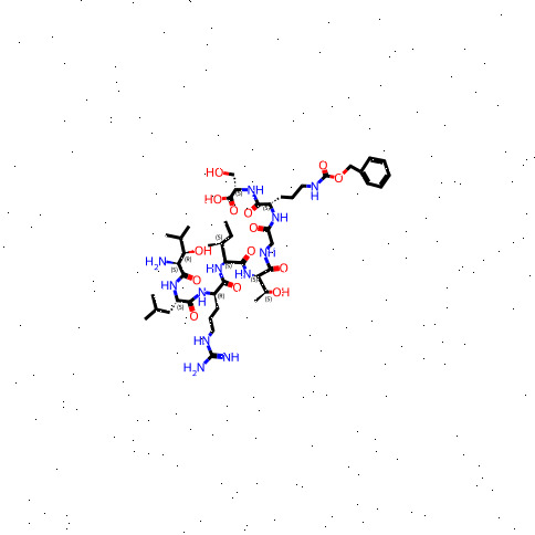 CC[C@H](C)[C@H](NC(=O)[C@@H](CCCNC(=N)N)NC(=O)[C@H](CC(C)C)NC(=O)[C@@H](N)[C@H](O)C(C)C)C(=O)N[C@H](C(=O)NCC(=O)N[C@@H](CCCNC(=O)OCc1ccccc1)C(=O)N[C@@H](CO)C(=O)O)[C@H](C)O